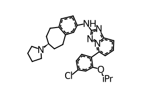 CC(C)Oc1cc(Cl)ccc1-c1cccc2nc(Nc3ccc4c(c3)CC[C@@H](N3CCCC3)CC4)nn12